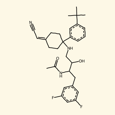 CC(=O)NC(Cc1cc(F)cc(F)c1)C(O)CNC1(c2cccc(C(C)(C)C)c2)CCC(=CC#N)CC1